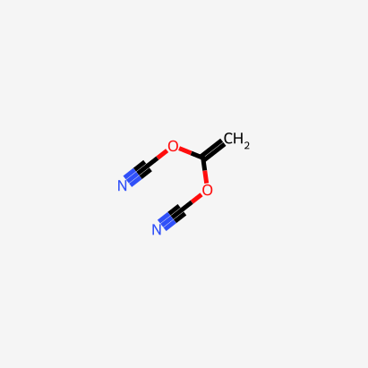 C=C(OC#N)OC#N